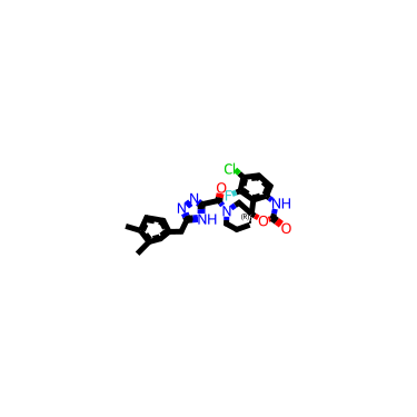 Cc1ccc(Cc2nnc(C(=O)N3CCC[C@@]4(C3)OC(=O)Nc3ccc(Cl)c(F)c34)[nH]2)cc1C